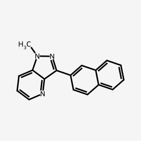 Cn1nc(-c2ccc3ccccc3c2)c2ncccc21